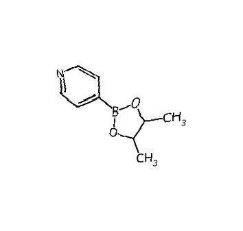 CC1OB(c2ccncc2)OC1C